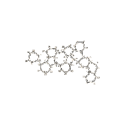 c1ccc(-c2nc3ccc4ccccc4c3nc2-n2c3cccc4c5cccc6c7c(-c8ccccc8)cccc7n(c7cccc2c7c43)c56)cc1